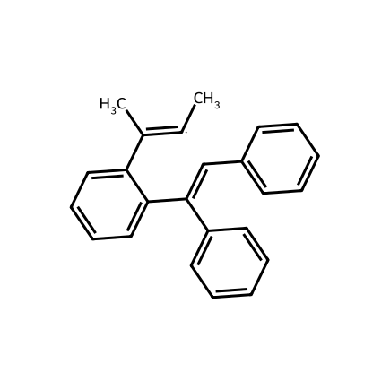 C[C]=C(C)c1ccccc1C(=Cc1ccccc1)c1ccccc1